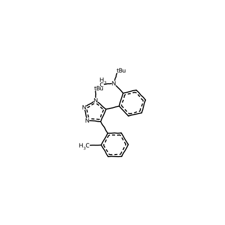 Cc1ccccc1-c1nnn(C(C)(C)C)c1-c1ccccc1N(C)C(C)(C)C